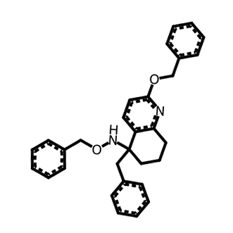 c1ccc(CONC2(Cc3ccccc3)CCCc3nc(OCc4ccccc4)ccc32)cc1